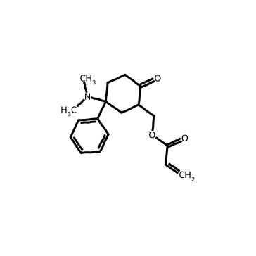 C=CC(=O)OCC1CC(c2ccccc2)(N(C)C)CCC1=O